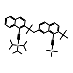 CC(C)[Si](C#Cc1c(C(C)(C)Cc2ccc3ccc(C(C)(C)C)c(C#C[Si](C)(C)C)c3c2)ccc2ccccc12)(C(C)C)C(C)C